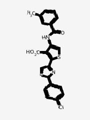 Cc1cccc(C(=O)Nc2csc(C3=NC(c4ccc(Cl)cc4)N=C3)c2C(=O)O)c1